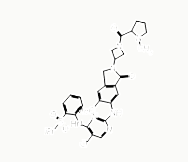 COc1cc2c(cc1Nc1ncc(Cl)c(Nc3ccccc3S(=O)(=O)C(C)C)n1)C(=O)N(C1CN(C(=O)C3CCCN3C)C1)C2